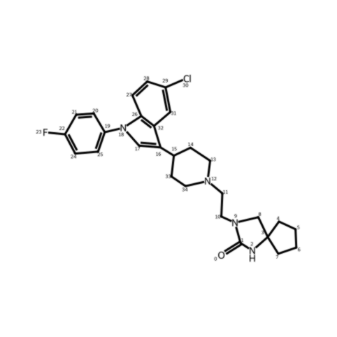 O=C1NC2(CCCC2)CN1CCN1CCC(c2cn(-c3ccc(F)cc3)c3ccc(Cl)cc23)CC1